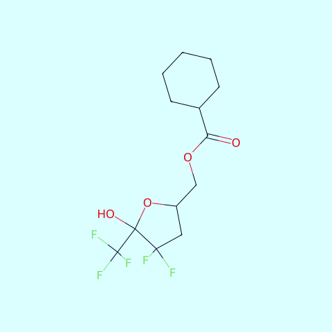 O=C(OCC1CC(F)(F)C(O)(C(F)(F)F)O1)C1CCCCC1